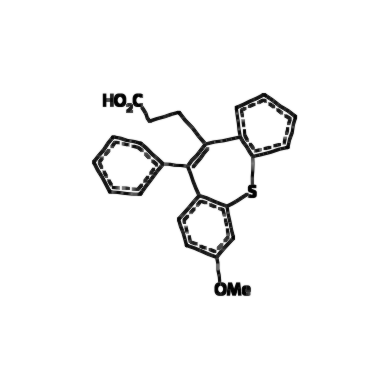 COc1ccc2c(c1)Sc1ccccc1C(CCC(=O)O)=C2c1ccccc1